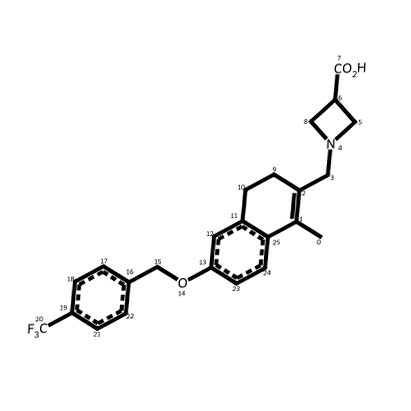 CC1=C(CN2CC(C(=O)O)C2)CCc2cc(OCc3ccc(C(F)(F)F)cc3)ccc21